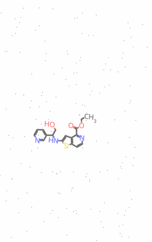 CCOC(=O)c1nccc2sc(NC(CO)c3cccnc3)cc12